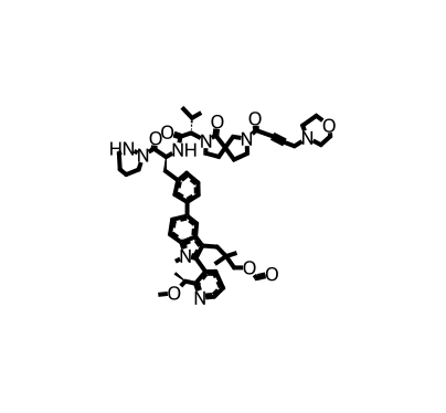 CO[C@@H](C)c1ncccc1-c1c(CC(C)(C)COC=O)c2cc(-c3cccc(C[C@H](NC(=O)[C@H](C(C)C)N4CCC5(CCN(C(=O)C#CCN6CCOCC6)C5)C4=O)C(=O)N4CCCCN4)c3)ccc2n1C